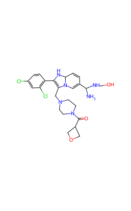 NC(NCO)C1=CN2C(CN3CCN(C(=O)C4COC4)CC3)=C(c3ccc(Cl)cc3Cl)NC2C=C1